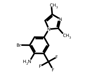 Cc1cn(-c2cc(Br)c(N)c(C(F)(F)F)c2)c(C)n1